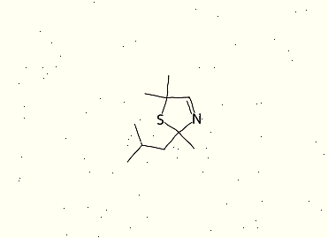 CC(C)CC1(C)N=CC(C)(C)S1